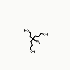 NC(CCO)(CCCO)CCCO